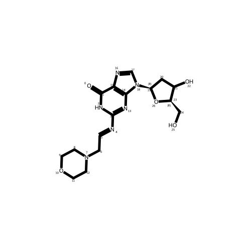 O=c1[nH]c(N=CCN2CCOCC2)nc2c1ncn2[C@H]1CC(O)[C@@H](CO)O1